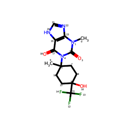 Cn1c(=O)n(C2(C)CCC(O)(C(F)(F)F)CC2)c(=O)c2[nH]cnc21